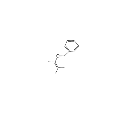 CC(C)=C(C)OCc1ccccc1